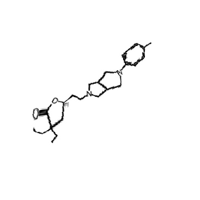 CCC1(CC)C[C@H](CCN2CC3CN(c4ccc(C)cc4)CC3C2)OC1=O